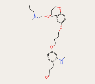 CCCN(C)CCO[C@H]1CCOc2ccc(OCCCCOc3ccc(CCC=O)c(NC)c3)cc21